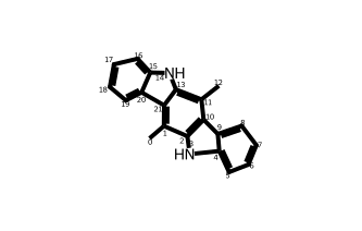 Cc1c2[nH]c3ccccc3c2c(C)c2[nH]c3ccccc3c12